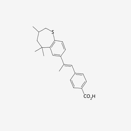 CC(=Cc1ccc(C(=O)O)cc1)c1ccc2c(c1)C(C)(C)CC(C)CS2